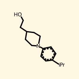 CC(C)c1ccc(N2CCC(CCO)CC2)cc1